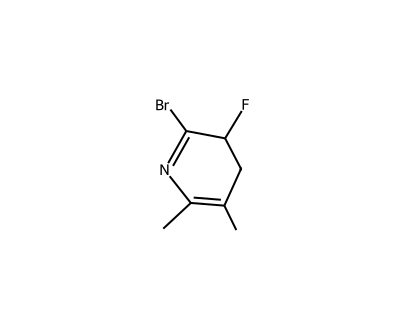 CC1=C(C)N=C(Br)C(F)C1